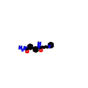 NC(=O)c1cccc(-c2cccc(NC(=O)CCCCN3CCCCC3)c2)c1